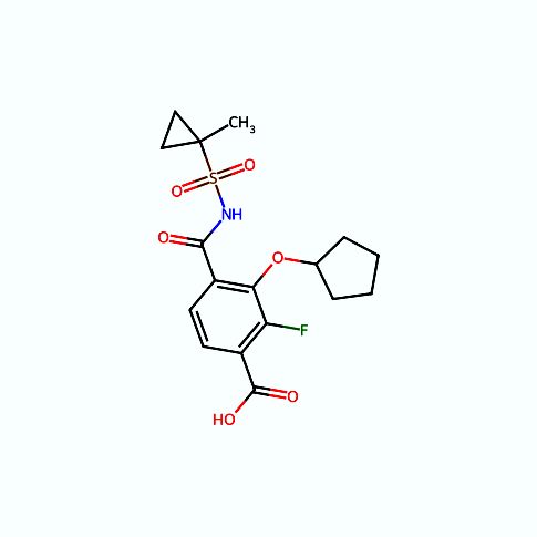 CC1(S(=O)(=O)NC(=O)c2ccc(C(=O)O)c(F)c2OC2CCCC2)CC1